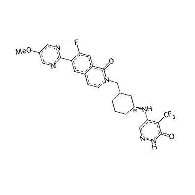 COc1cnc(-c2cc3ccn(CC4CCC[C@H](Nc5cn[nH]c(=O)c5C(F)(F)F)C4)c(=O)c3cc2F)nc1